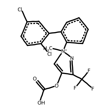 C[N+]1(c2ccccc2-c2cc(Cl)ccc2Cl)C=C(OC(=O)O)C(C(F)(F)F)=N1